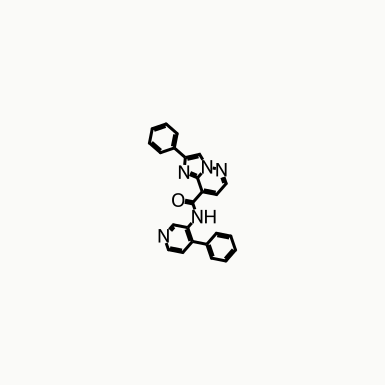 O=C(Nc1cnccc1-c1ccccc1)c1ccnn2cc(-c3ccccc3)nc12